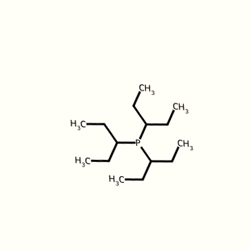 CCC(CC)P(C(CC)CC)C(CC)CC